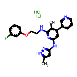 Cc1cc(Nc2cc(-c3cccnc3)c(C#N)c(NCCOc3cccc(F)c3)n2)n[nH]1.Cl.Cl